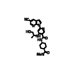 CNC(=O)[C@H]1CC[C@H](NC(=O)c2cnc(-n3ccc4cc(C#N)cnc43)cc2N[C@@H](C)CO)CC1